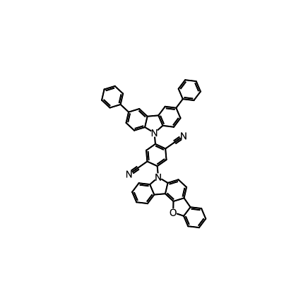 N#Cc1cc(-n2c3ccccc3c3c4oc5ccccc5c4ccc32)c(C#N)cc1-n1c2ccc(-c3ccccc3)cc2c2cc(-c3ccccc3)ccc21